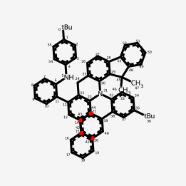 CC(C)(C)c1ccc(Nc2ccccc2-c2cc(-c3ccccc3)cc3c2Cc2ccc4c(c2N3c2ccc(C(C)(C)C)cc2-c2ccccc2)C(C)(C)c2ccccc2-4)cc1